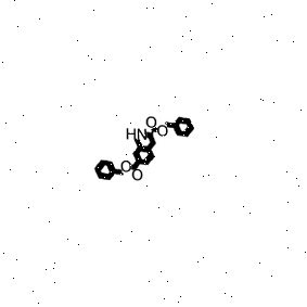 O=C(OCc1ccccc1)c1ccc2c(c1)CN[C@@H](C(=O)OCc1ccccc1)C2